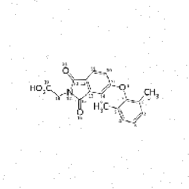 Cc1cccc(C)c1Oc1ccc2c(c1)C(=O)N(CC(=O)O)C2=O